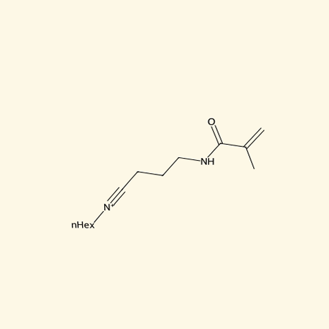 C=C(C)C(=O)NCCCC#[N+]CCCCCC